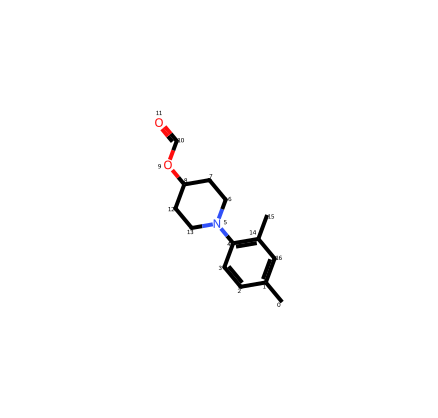 Cc1ccc(N2CCC(OC=O)CC2)c(C)c1